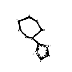 c1coc(C2CCCCCC2)n1